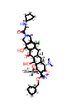 CN(C)[C@@H]1c2onc(OCc3ccccc3)c2C(=O)C2(O[Si](C)(C)C(C)(C)C)C(O)=C3C(=O)c4c(O)c5c(c(F)c4C[C@H]3C[C@@H]12)CN(C(=O)CNC1CCCC1)C5